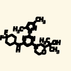 Cc1cc(C)n(-c2nc(NC3CCC(F)(F)CC3)cc(N3CCOC(C(C)(C)O)C3)n2)n1